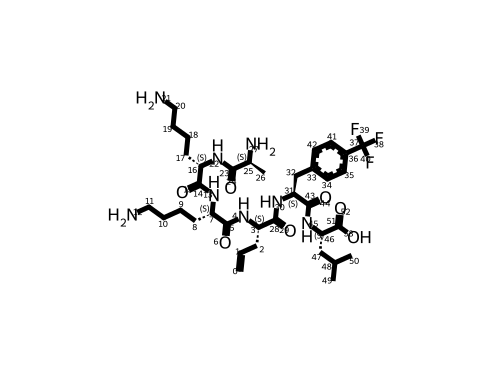 C=CC[C@H](NC(=O)[C@H](CCCCN)NC(=O)[C@H](CCCCN)NC(=O)[C@H](C)N)C(=O)N[C@@H](Cc1ccc(C(F)(F)F)cc1)C(=O)N[C@@H](CC(C)C)C(=O)O